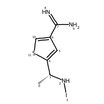 C[C@@H](NI)c1cc(C(=N)N)cs1